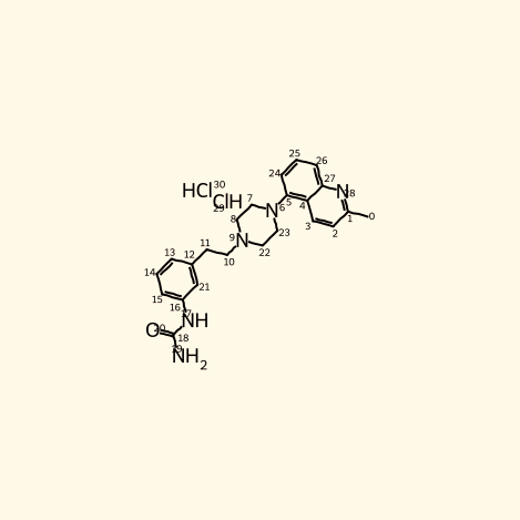 Cc1ccc2c(N3CCN(CCc4cccc(NC(N)=O)c4)CC3)cccc2n1.Cl.Cl